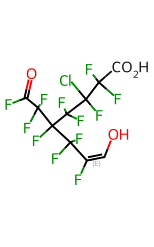 O=C(O)C(F)(F)C(F)(Cl)C(F)(F)C(F)(C(F)(F)C(=O)F)C(F)(F)/C(F)=C\O